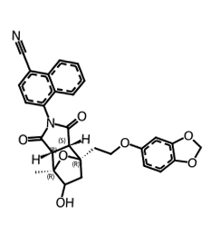 C[C@]12O[C@](CCOc3ccc4c(c3)OCO4)(CC1O)[C@H]1C(=O)N(c3ccc(C#N)c4ccccc34)C(=O)[C@H]12